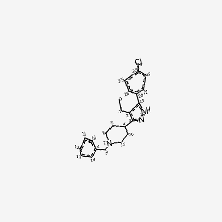 CCc1c(C2CCN(Cc3ccccc3)CC2)n[nH]c1-c1ccc(Cl)cc1